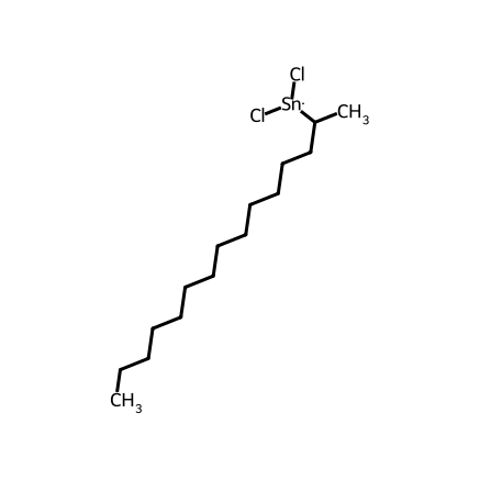 CCCCCCCCCCCCC[CH](C)[Sn]([Cl])[Cl]